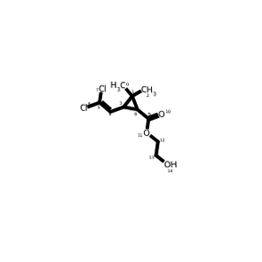 CC1(C)C(C=C(Cl)Cl)C1C(=O)OCCO